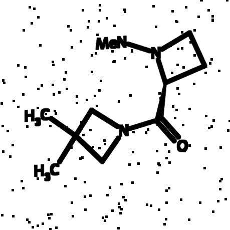 CNN1CC[C@H]1C(=O)N1CC(C)(C)C1